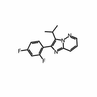 CC(C)c1c(-c2ccc(F)cc2F)nc2cccnn12